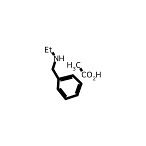 CC(=O)O.CCNCc1ccccc1